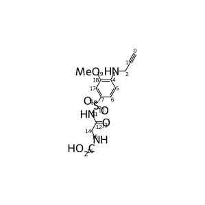 C#CCNc1ccc(S(=O)(=O)NC(=O)CNC(=O)O)cc1OC